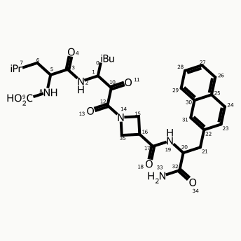 CCC(C)C(NC(=O)C(CC(C)C)NC(=O)O)C(=O)C(=O)N1CC(C(=O)NC(Cc2ccc3ccccc3c2)C(N)=O)C1